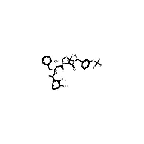 Cc1c(O)cccc1C(=O)N[C@@H](Cc1ccccc1)[C@H](O)C(=O)N1CS[C@@]2(C)C1C(=O)N2Cc1cccc(OC(F)(F)F)c1